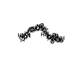 CCc1cc2ncc(CN3CCN(c4ccc(C(=O)N5CCC(CNc6ccc7c(c6)C(=O)N(C6CCC(=O)NC6=O)C7=O)CC5)nc4)CC3)cc2[nH]c1=O